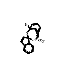 BrC12C=CC=C3[C](=CC=C31)[Zr+2][C]1(C=Cc3ccccc31)S2.[Cl-].[Cl-]